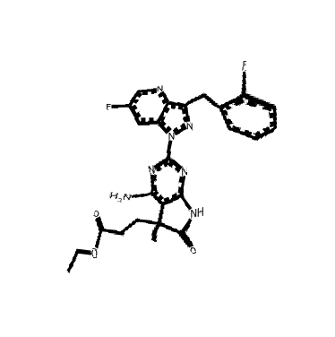 CCOC(=O)CCC1(C)C(=O)Nc2nc(-n3nc(Cc4ccccc4F)c4ncc(F)cc43)nc(N)c21